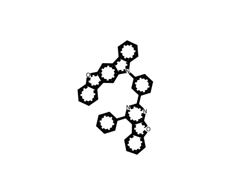 c1ccc(-c2nc(-c3cccc(-n4c5ccccc5c5cc6oc7ccccc7c6cc54)c3)nc3oc4ccccc4c23)cc1